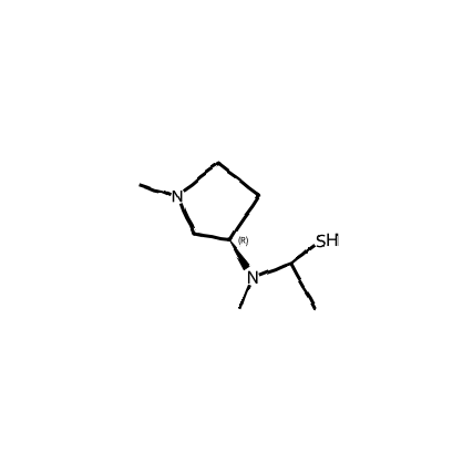 CC(S)N(C)[C@@H]1CCN(C)C1